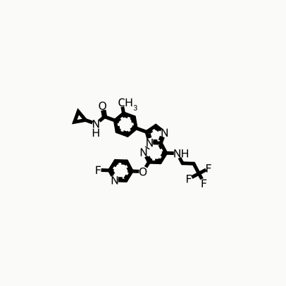 Cc1cc(-c2cnc3c(NCCC(F)(F)F)cc(Oc4ccc(F)nc4)nn23)ccc1C(=O)NC1CC1